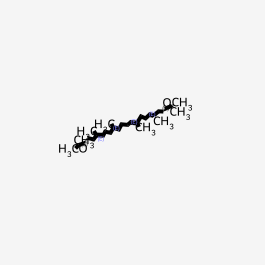 C/C(=C\CC/C=C(\C)CC/C=C(\C)CC[C@@H]1OC1(C)C)CC/C=C(\C)CC[C@@H]1OC1(C)C